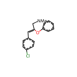 CNCC(=Cc1ccc(Cl)cc1)Oc1ccccc1